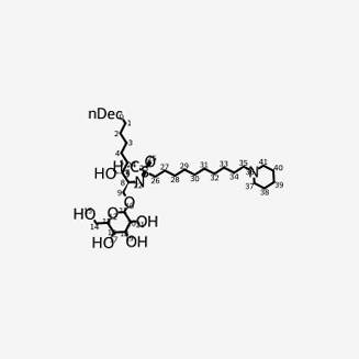 CCCCCCCCCCCCCCC[C@@H](O)[C@H](COC1OC(CO)C(O)C(O)C1O)N=S(C)(=O)CCCCCCCCCCN1CCCCC1